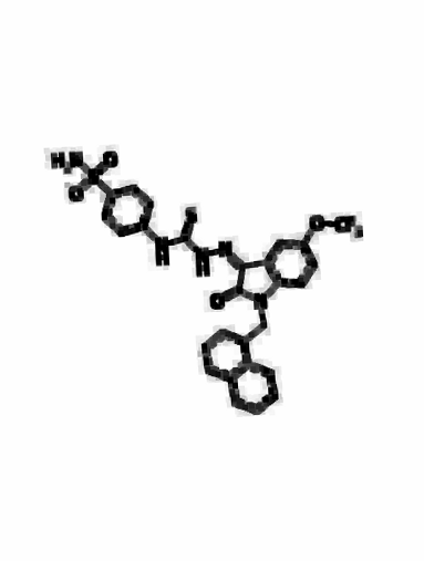 NS(=O)(=O)c1ccc(NC(=S)NN=C2C(=O)N(Cc3cccc4ccccc34)c3ccc(OC(F)(F)F)cc32)cc1